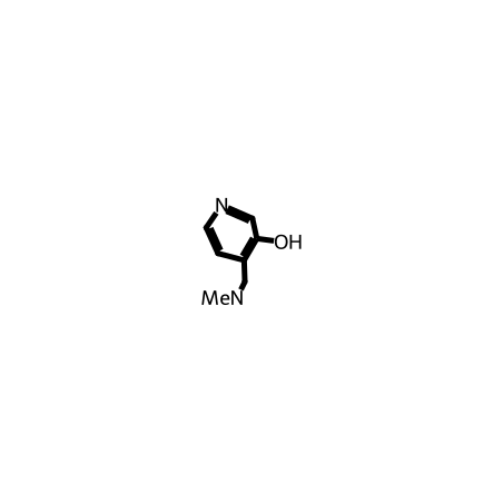 CNCc1ccncc1O